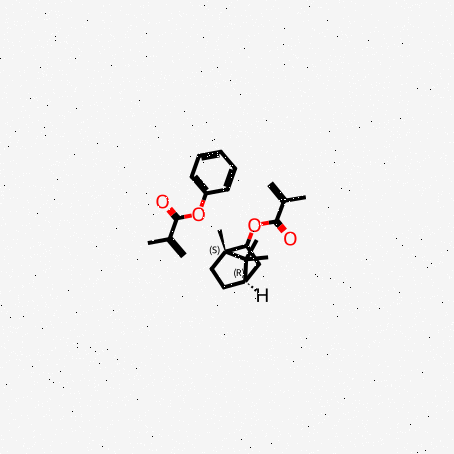 C=C(C)C(=O)OC1C[C@H]2CC[C@@]1(C)C2(C)C.C=C(C)C(=O)Oc1ccccc1